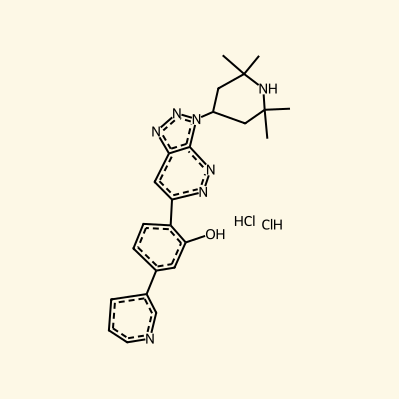 CC1(C)CC(n2nnc3cc(-c4ccc(-c5cccnc5)cc4O)nnc32)CC(C)(C)N1.Cl.Cl